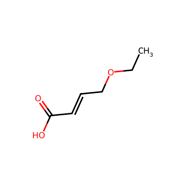 CCOCC=CC(=O)O